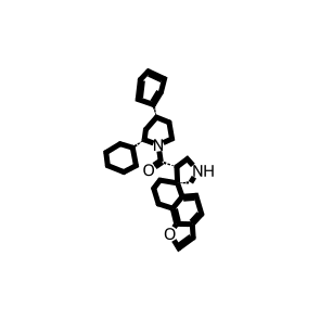 O=C([C@@H]1CNC[C@]12CCCc1c2ccc2ccoc12)N1CC[C@@H](c2ccccc2)C[C@H]1C1CCCCC1